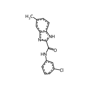 Cc1ccc2[nH]c(C(=O)Nc3cccc(Cl)c3)nc2c1